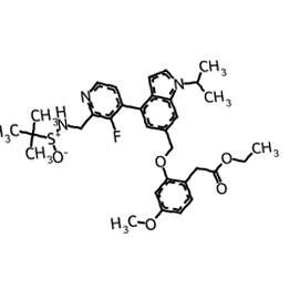 CCOC(=O)Cc1ccc(OC)cc1OCc1cc(-c2ccnc(CN[S+]([O-])C(C)(C)C)c2F)c2ccn(C(C)C)c2c1